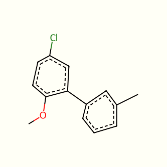 COc1ccc(Cl)cc1-c1cccc(C)c1